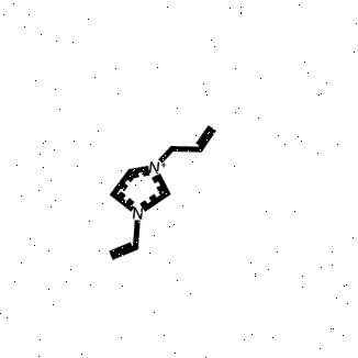 C=CC[n+]1ccn(C=C)c1